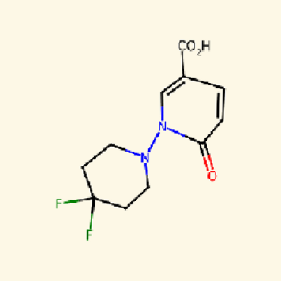 O=C(O)c1ccc(=O)n(N2CCC(F)(F)CC2)c1